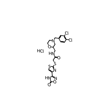 Cl.O=C(CSc1nc(-c2noc(=O)[nH]2)cs1)NCC1CN(Cc2ccc(Cl)c(Cl)c2)CCO1